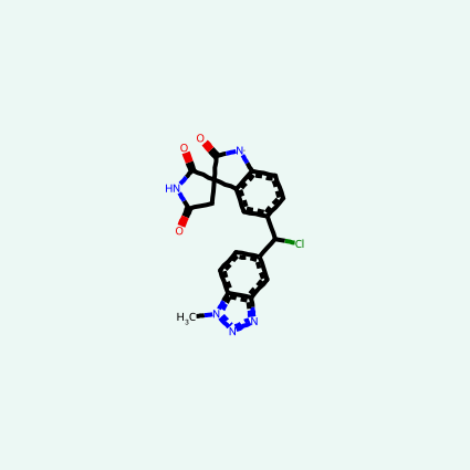 Cn1nnc2cc(C(Cl)c3ccc4c(c3)C3(CC(=O)NC3=O)C(=O)[N]4)ccc21